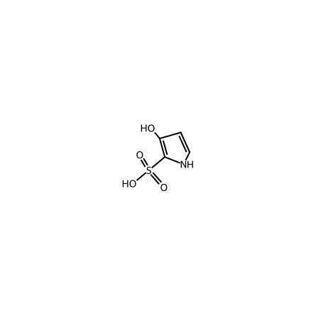 O=S(=O)(O)c1[nH]ccc1O